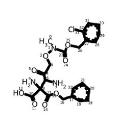 CN(OCC(=O)C(N)C(N)(C(=O)O)C(=O)OCc1ccccc1)C(=O)OCc1ccccc1Cl